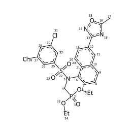 CCOP(=O)(CN(c1cccc2cc(-c3noc(C)n3)ccc12)S(=O)(=O)c1cc(Cl)cc(Cl)c1)OCC